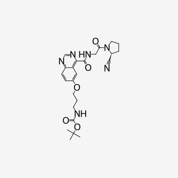 CC(C)(C)OC(=O)NCCCOc1ccc2ncnc(C(=O)NCC(=O)N3CCC[C@H]3C#N)c2c1